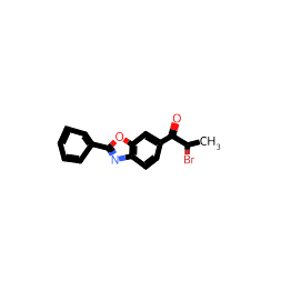 CC(Br)C(=O)c1ccc2nc(-c3ccccc3)oc2c1